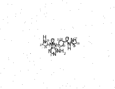 Nc1ncnc2c1n(-c1ccc(C(=O)Nc3nccs3)cc1)c(=O)n2[C@@H]1CCNC1